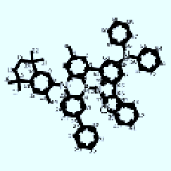 Cc1cc2c3c(c1)N(c1cc4c(cc1C)C(C)(C)CCC4(C)C)c1ccc(-c4ccccc4)cc1B3n1c3oc4ccccc4c3c3cc(N(c4ccccc4)c4ccccc4)cc-2c31